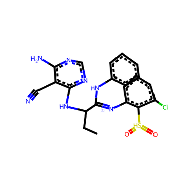 CCC(Nc1ncnc(N)c1C#N)/C(=N/c1cccc(Cl)c1[SH](=O)=O)Nc1ccccc1